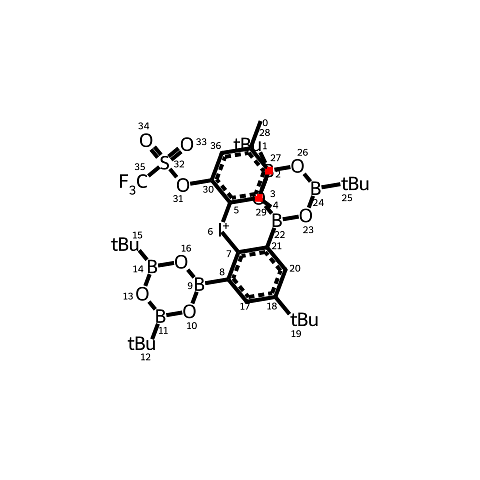 Cc1cc(C)c([I+]c2c(B3OB(C(C)(C)C)OB(C(C)(C)C)O3)cc(C(C)(C)C)cc2B2OB(C(C)(C)C)OB(C(C)(C)C)O2)c(OS(=O)(=O)C(F)(F)F)c1